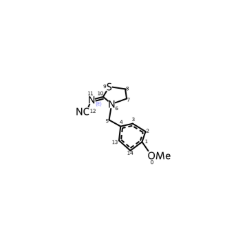 COc1ccc(CN2CCS/C2=N/C#N)cc1